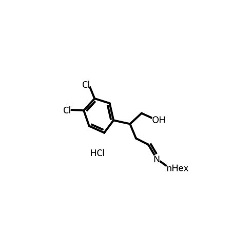 CCCCCCN=CCC(CO)c1ccc(Cl)c(Cl)c1.Cl